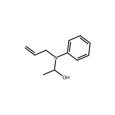 C=CCN(c1ccccc1)C(C)O